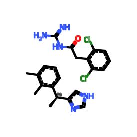 Cc1cccc([C@H](C)c2c[nH]cn2)c1C.N=C(N)NC(=O)Cc1c(Cl)cccc1Cl